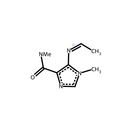 C/C=N\c1c(C(=O)NC)ncn1C